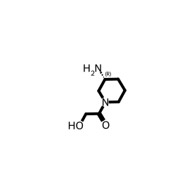 N[C@@H]1CCCN(C(=O)CO)C1